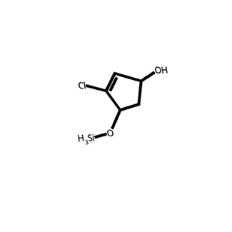 OC1C=C(Cl)C(O[SiH3])C1